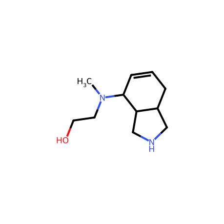 CN(CCO)C1C=CCC2CNCC21